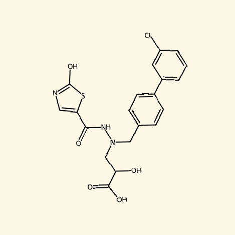 O=C(NN(Cc1ccc(-c2cccc(Cl)c2)cc1)CC(O)C(=O)O)c1cnc(O)s1